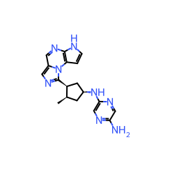 C[C@@H]1C[C@H](Nc2cnc(N)cn2)C[C@@H]1c1ncc2cnc3[nH]ccc3n12